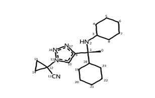 C[C@](NC1CCCCC1)(c1cn(C2(C#N)CC2)nn1)C1CCCCC1